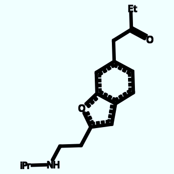 CCC(=O)Cc1ccc2cc(CCNC(C)C)oc2c1